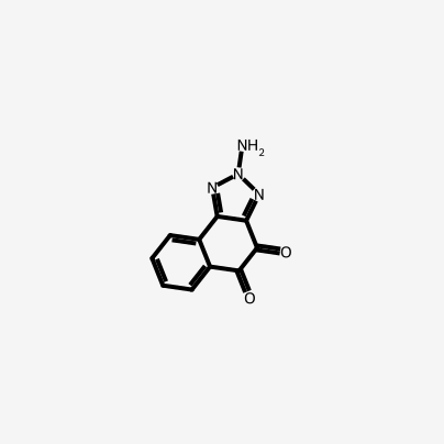 Nn1nc2c(n1)-c1ccccc1C(=O)C2=O